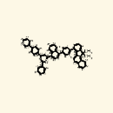 CC1(C)c2cccc(-c3ccc(-c4ccc(-c5cc(-c6ccc(-c7cccnc7)cc6)nc(-c6ccccc6)n5)c5ccccc45)cc3)c2-c2ccc3ccccc3c21